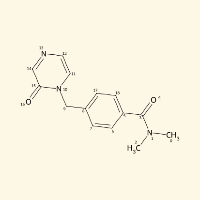 CN(C)C(=O)c1ccc(Cn2ccncc2=O)cc1